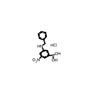 Cl.O=[N+]([O-])c1cc(NCc2ccccc2)cc(B(O)O)c1